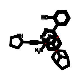 Nc1nnc(-c2ccccc2O)cc1N1CC2CCC(C1)N2c1ccnc(C#CC2CCCN2)c1